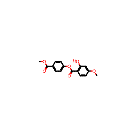 COC(=O)c1ccc(OC(=O)c2ccc(OC)cc2O)cc1